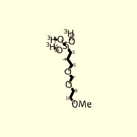 [3H]O[Si](CCCOCOCCOC)(O[3H])O[3H]